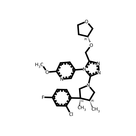 COc1ccc(-n2c(CO[C@@H]3CCOC3)nnc2N2C[C@H](C)[C@@](C)(c3ccc(F)cc3Cl)C2)cn1